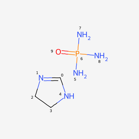 C1=NCCN1.NP(N)(N)=O